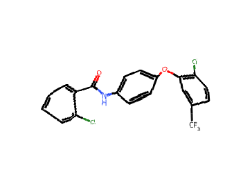 O=C(Nc1ccc(Oc2cc(C(F)(F)F)ccc2Cl)cc1)c1ccccc1Cl